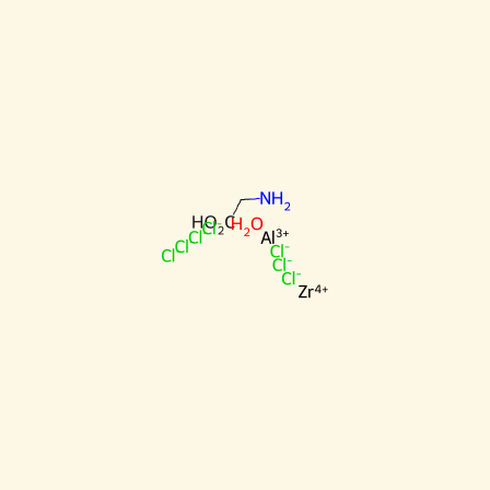 NCC(=O)O.O.[Al+3].[Cl-].[Cl-].[Cl-].[Cl-].[Cl-].[Cl-].[Cl-].[Zr+4]